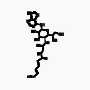 CCCCCCCCC/C=C/C=C/C(=O)NCC(=O)N[C@@H]1[C@@H](O)[C@@H](O)[C@@H](Nc2ncnc3[nH]cnc23)O[C@H]1[C@H](O)CO